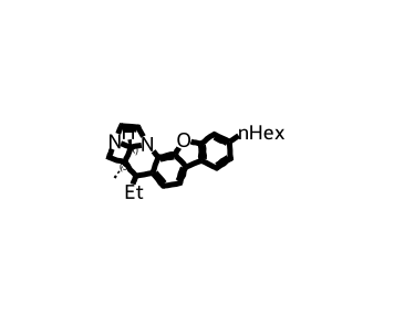 CCCCCCc1ccc2c(c1)oc1c3c(ccc12)C(CC)[C@@]1(C)CN2C=CN3[C@@H]21